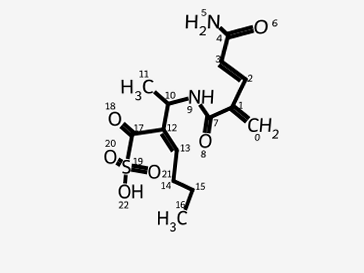 C=C(C=CC(N)=O)C(=O)NC(C)C(=CCCC)C(=O)S(=O)(=O)O